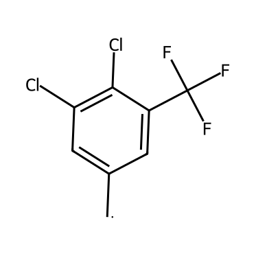 [CH2]c1cc(Cl)c(Cl)c(C(F)(F)F)c1